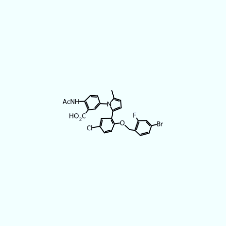 CC(=O)Nc1ccc(-n2c(C)ccc2-c2cc(Cl)ccc2OCc2ccc(Br)cc2F)cc1C(=O)O